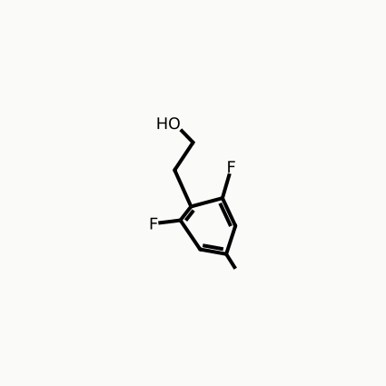 Cc1cc(F)c(CCO)c(F)c1